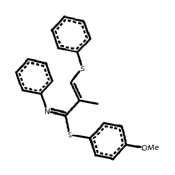 COc1ccc(SC(=N/c2ccccc2)/C(C)=C/Sc2ccccc2)cc1